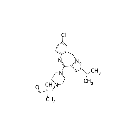 CC(C)c1cc2n(c1)Cc1cc(Cl)ccc1N=C2N1CCN(CC(C)(C)C=O)CC1